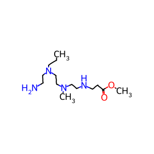 CCCN(CCN)CCN(C)CCNCCC(=O)OC